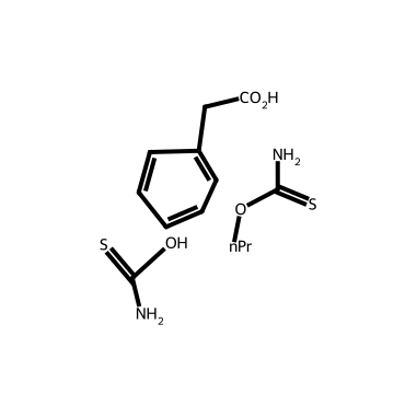 CCCOC(N)=S.NC(O)=S.O=C(O)Cc1ccccc1